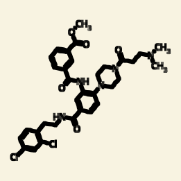 COC(=O)c1cccc(C(=O)Nc2cc(C(=O)NCCc3ccc(Cl)cc3Cl)ccc2N2CCN(C(=O)CCN(C)C)CC2)c1